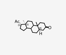 CC(=O)[C@H]1CCC2C3CC[C@@H]4CC(=O)CCC4(C)C3CC[C@@]21C